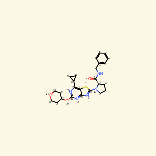 O=C(NCc1ccccc1)[C@H]1CCCN1c1nc2nc(OC3CCOCC3)nc(C3CC3)c2s1